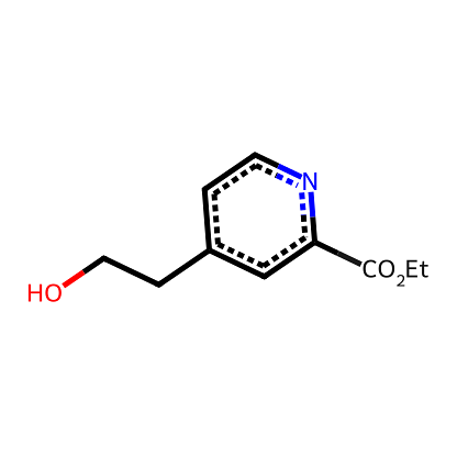 CCOC(=O)c1cc(CCO)ccn1